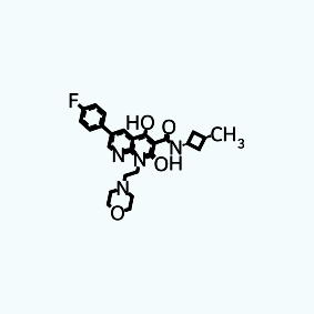 C[C@H]1C[C@H](NC(=O)c2c(O)c3cc(-c4ccc(F)cc4)cnc3n(CCN3CCOCC3)c2=O)C1